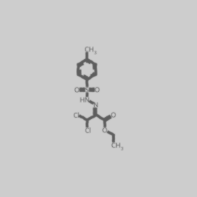 CCOC(=O)C(=NNS(=O)(=O)c1ccc(C)cc1)C(Cl)Cl